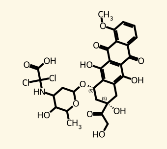 COc1cccc2c1C(=O)c1c(O)c3c(c(O)c1C2=O)C[C@@](O)(C(=O)CO)C[C@@H]3OC1CC(NC(Cl)(Cl)C(=O)O)C(O)C(C)O1